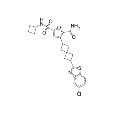 NC(=O)c1oc(S(=O)(=O)NC2CCC2)cc1C1CC2(CC(c3nc4cc(Cl)ccc4s3)C2)C1